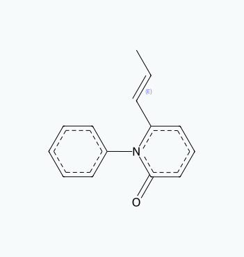 C/C=C/c1cccc(=O)n1-c1ccccc1